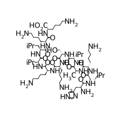 CC(C)C[C@H](NC(=O)[C@@H](NC(=O)[C@H](CCCCN)NC(=O)[C@H](CCCCN)NC(=O)[C@H](CO)NC(=O)[C@@H](NC(=O)[C@H](C)NC(=O)[C@H](CCCCN)NC(=O)[C@H](CC(C)C)NC(=O)[C@@H](N)Cc1c[nH]cn1)C(C)C)C(C)C)C(=O)N[C@@H](CCCCN)C(=O)N[C@@H](CCCCN)C(=O)O